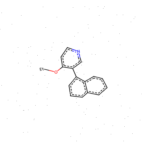 CCOc1ccn[c]c1-c1cccc2ccccc12